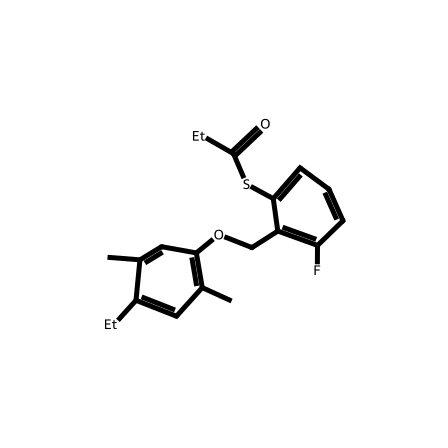 CCC(=O)Sc1cccc(F)c1COc1cc(C)c(CC)cc1C